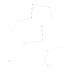 CN1CCC2CCCC2C1C(=O)O